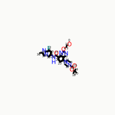 COCCOc1ncc2c(N3CCN(C(=O)OC(C)(C)C)CC3)ccc(C(=O)Nc3cc(F)c4nc(C)cn4c3)c2n1